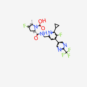 C[C@H]1[C@H](F)C[C@@H](C(=O)NCc2cc(-c3cnc(C(F)(F)F)nc3)c(F)c(C3CC3)n2)N1C(=O)O